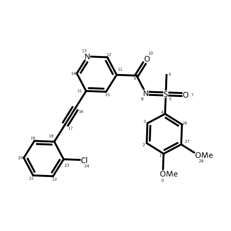 COc1ccc(S(C)(=O)=NC(=O)c2cncc(C#Cc3ccccc3Cl)c2)cc1OC